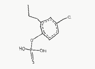 CCc1cc(Cl)ccc1OP(O)(O)=S